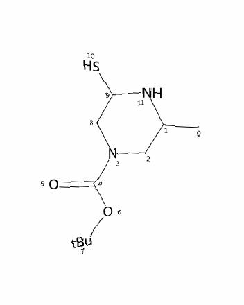 CC1CN(C(=O)OC(C)(C)C)CC(S)N1